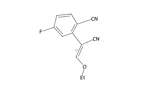 CCO/C=C(\C#N)c1cc(F)ccc1C#N